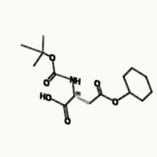 CC(C)(C)OC(=O)N[C@H](CC(=O)OC1CCCCC1)C(=O)O